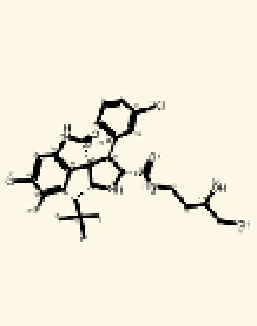 CC(C)(C)C[C@H]1N[C@@H](C(=O)NCCC(O)CO)[C@H](c2cccc(Cl)c2)[C@@]12C(=O)Nc1cc(Cl)c(F)cc12